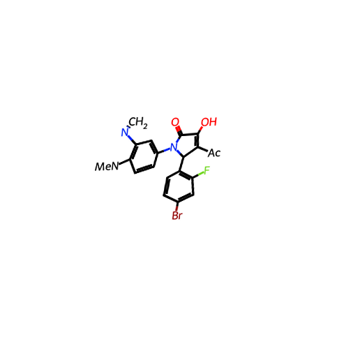 C=Nc1cc(N2C(=O)C(O)=C(C(C)=O)C2c2ccc(Br)cc2F)ccc1NC